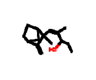 C=C1C2CCC(C2)C1(C)C=C(C)C(O)CC